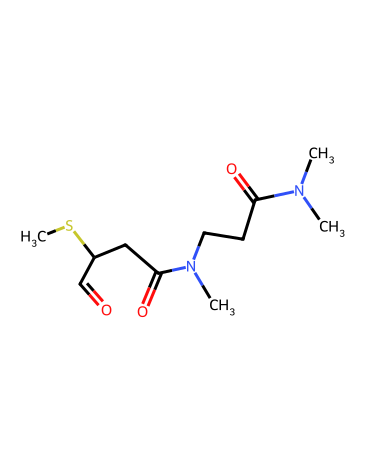 CSC(C=O)CC(=O)N(C)CCC(=O)N(C)C